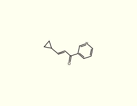 O=C(C=CC1CC1)c1cccnc1